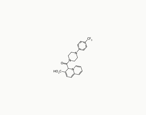 O=C(O)C1=CC=C2C=CC=CN2C1C(=O)N1CCN(c2ccc(C(F)(F)F)cc2)CC1